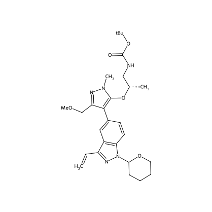 C=Cc1nn(C2CCCCO2)c2ccc(-c3c(COC)nn(C)c3O[C@@H](C)CNC(=O)OC(C)(C)C)cc12